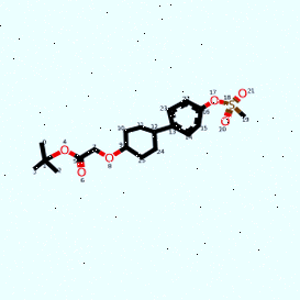 CC(C)(C)OC(=O)COC1CCC(c2ccc(OS(C)(=O)=O)cc2)CC1